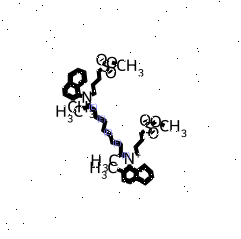 COS(=O)(=O)CCCCN(/C(C)=C/C=C/C=C/C=C/C(C)=[N+](\CCCCS(=O)(=O)OC)c1c(C)ccc2ccccc12)c1c(C)ccc2ccccc12